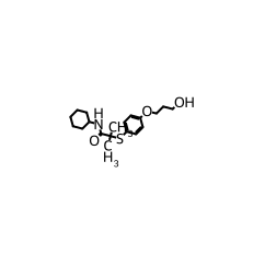 CC(C)(Sc1ccc(OCCCO)cc1)C(=O)NC1CCCCC1